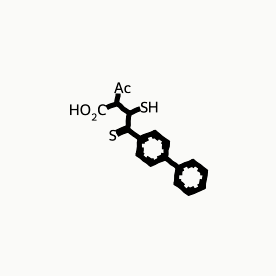 CC(=O)C(C(=O)O)C(S)C(=S)c1ccc(-c2ccccc2)cc1